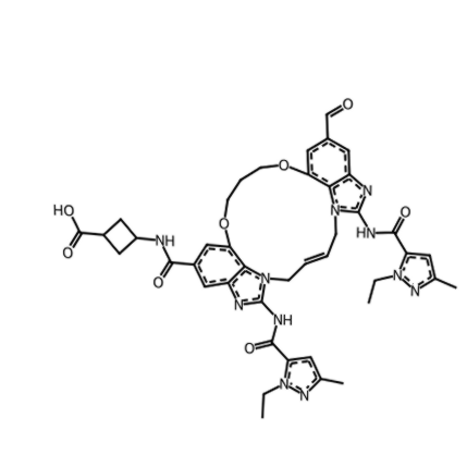 CCn1nc(C)cc1C(=O)Nc1nc2cc(C=O)cc3c2n1C/C=C/Cn1c(NC(=O)c2cc(C)nn2CC)nc2cc(C(=O)NC4CC(C(=O)O)C4)cc(c21)OCCCO3